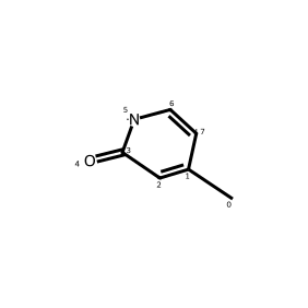 CC1=CC(=O)[N]C=[C]1